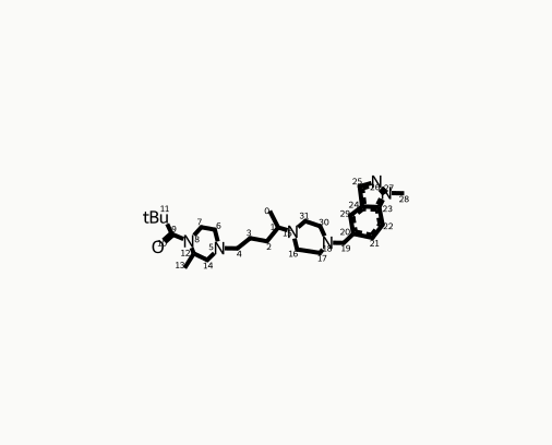 CC(CCCN1CCN(C(=O)C(C)(C)C)C(C)C1)N1CCN(Cc2ccc3c(cnn3C)c2)CC1